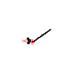 CCCCCCCCCCCCCCCCCC[C@H](C)C(=O)Oc1cc(C(C)(C)C)c(O)c(C(C)(C)C)c1